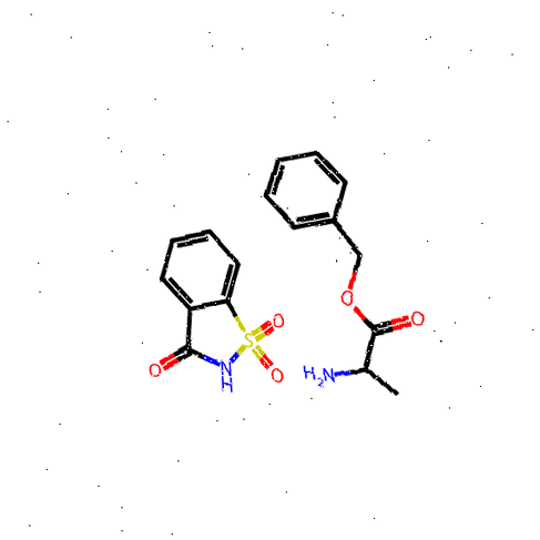 CC(N)C(=O)OCc1ccccc1.O=C1NS(=O)(=O)c2ccccc21